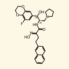 O=C(N[C@H](CN1CCCC1)[C@H](O)c1cc(F)c2c(c1)OCCO2)C(CCc1ccc2ccccc2c1)=NO